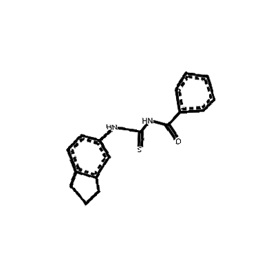 O=C(NC(=S)Nc1ccc2c(c1)CCC2)c1ccccc1